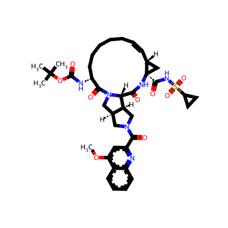 COc1cc(C(=O)N2C[C@H]3CN4C(=O)[C@H](NC(=O)OC(C)(C)C)CCCCC/C=C\[C@@H]5C[C@@]5(C(=O)NS(=O)(=O)C5CC5)NC(=O)[C@@H]4[C@H]3C2)nc2ccccc12